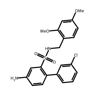 COc1ccc(CNS(=O)(=O)c2cc(N)ccc2-c2cccc(Cl)c2)c(OC)c1